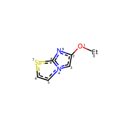 CCOc1cn2ccsc2n1